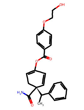 CC(c1ccccc1)[C@]1(C(N)=O)C=CC(OC(=O)c2ccc(OCCO)cc2)=CC1